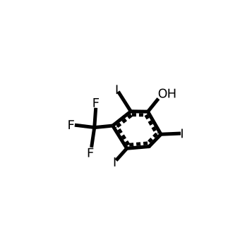 Oc1c(I)cc(I)c(C(F)(F)F)c1I